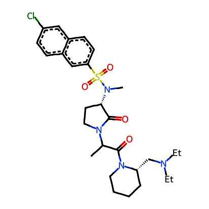 CCN(CC)C[C@@H]1CCCCN1C(=O)C(C)N1CC[C@H](N(C)S(=O)(=O)c2ccc3cc(Cl)ccc3c2)C1=O